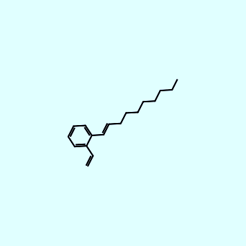 C=Cc1ccccc1C=CCCCCCCCC